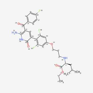 CCOC(=O)[C@H](CC(C)C)NCCCOc1cc(F)c(-c2cc(C(=O)c3ccc(F)cc3)c(N)[nH]c2=O)c(F)c1